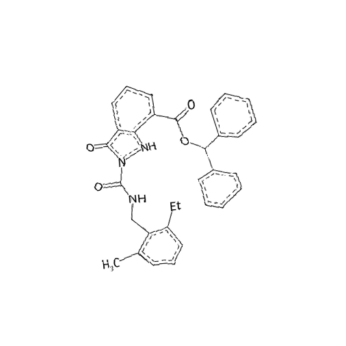 CCc1cccc(C)c1CNC(=O)n1[nH]c2c(C(=O)OC(c3ccccc3)c3ccccc3)cccc2c1=O